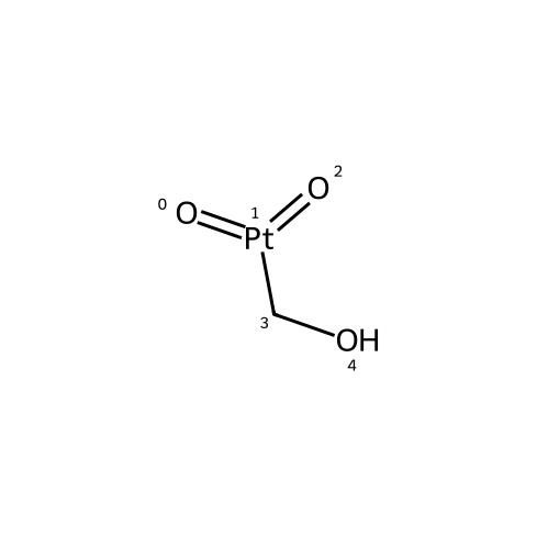 [O]=[Pt](=[O])[CH2]O